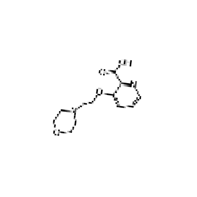 O=C(O)c1ncccc1OCCN1CCOCC1